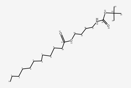 CCCCCCCCCCCC(=O)OCCCCNC(=O)OC(C)(C)C